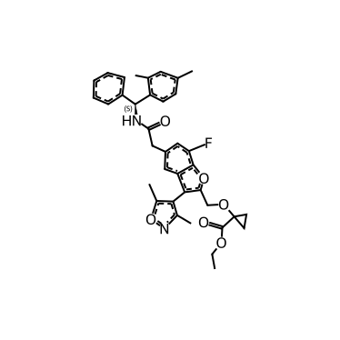 CCOC(=O)C1(OCc2oc3c(F)cc(CC(=O)N[C@@H](c4ccccc4)c4ccc(C)cc4C)cc3c2-c2c(C)noc2C)CC1